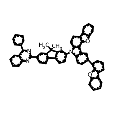 CC1(C)c2cc(-c3nc(-c4ccccc4)c4ccccc4n3)ccc2-c2ccc(-n3c4ccc(-c5cccc6c5oc5ccccc56)cc4c4c5oc6ccccc6c5ccc43)cc21